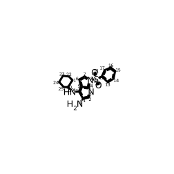 Nc1cnc2c(ccn2S(=O)(=O)c2ccccc2)c1NC1CCCCC1